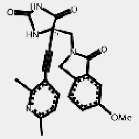 COc1ccc2c(c1)C(=O)N(C[C@@]1(C#Cc3ccc(C)nc3C)NC(=O)NC1=O)C2